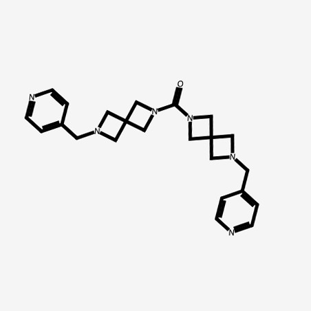 O=C(N1CC2(CN(Cc3ccncc3)C2)C1)N1CC2(CN(Cc3ccncc3)C2)C1